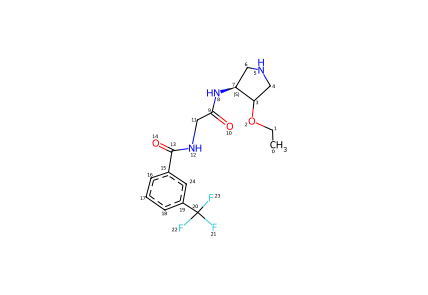 CCOC1CNC[C@@H]1NC(=O)CNC(=O)c1cccc(C(F)(F)F)c1